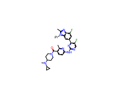 Cc1nc(Nc2ncc(F)c(-c3cc(F)c4nc(C)n(C(C)C)c4c3)n2)ccc1C(=O)N1CCC(N(C)C2CC2)CC1